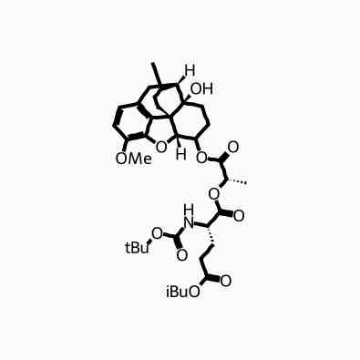 COc1ccc2c3c1O[C@H]1C(OC(=O)[C@H](C)OC(=O)[C@H](CCC(=O)OCC(C)C)NC(=O)OC(C)(C)C)CC[C@@]4(O)[C@@H](C2)C(C)CC[C@]314